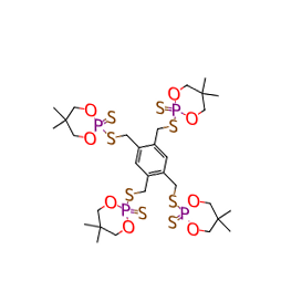 CC1(C)COP(=S)(SCc2cc(CSP3(=S)OCC(C)(C)CO3)c(CSP3(=S)OCC(C)(C)CO3)cc2CSP2(=S)OCC(C)(C)CO2)OC1